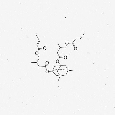 CC=CC(=O)OCC(C)CC(=O)OC12CC3(C)CC(C)(C1)CC(OC(=O)CC(C)COC(=O)C=CC)(C3)C2